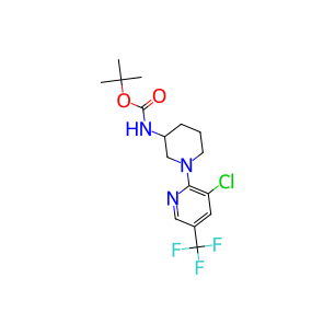 CC(C)(C)OC(=O)NC1CCCN(c2ncc(C(F)(F)F)cc2Cl)C1